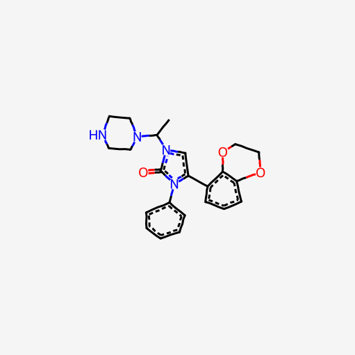 CC(N1CCNCC1)n1cc(-c2cccc3c2OCCO3)n(-c2ccccc2)c1=O